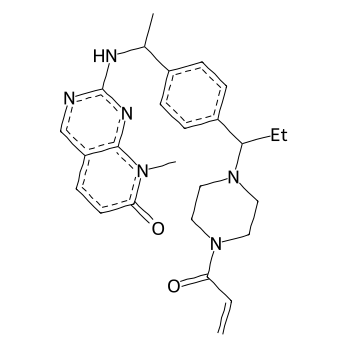 C=CC(=O)N1CCN(C(CC)c2ccc(C(C)Nc3ncc4ccc(=O)n(C)c4n3)cc2)CC1